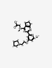 CN(CC(=O)[O-])c1nc(-c2cc(OCCN3CCCC3)ccn2)nc2c1CCC2.[Li+]